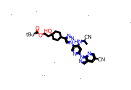 C[C@H](C#N)Nc1cc(-n2ncc3cc(C#N)cnc32)ncc1-n1cc(C2CCC(O)(CCOC(=O)C(C)(C)C)CC2)nn1